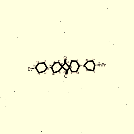 CCC[C@H]1CC[C@H](C2CCC3(CC2)C(=O)C2(CCC([C@H]4CC[C@H](CC)CC4)CC2)C3=O)CC1